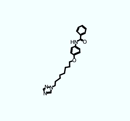 O=C(Nc1ccc(OCCCCCCCCn2cncn2)cc1)c1ccccc1